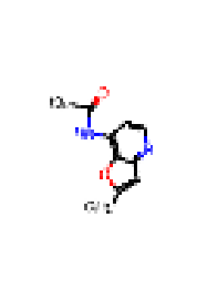 CC(C)(C)C(=O)Nc1ccnc2cc(C=O)oc12